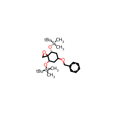 CC(C)(C)[Si](C)(C)O[C@@H]1CC(OCc2ccccc2)C[C@@H](O[Si](C)(C)C(C)(C)C)C12CO2